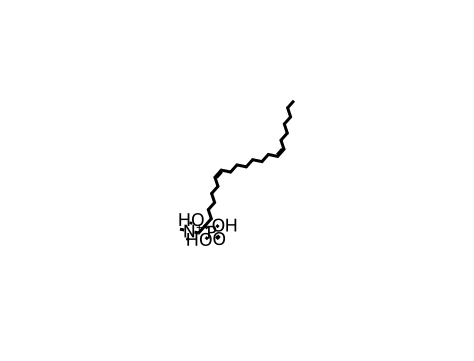 CCCCCC/C=C\CCCCCC/C=C\CCCCCC(O)(C[N+](C)(C)C)P(=O)(O)O